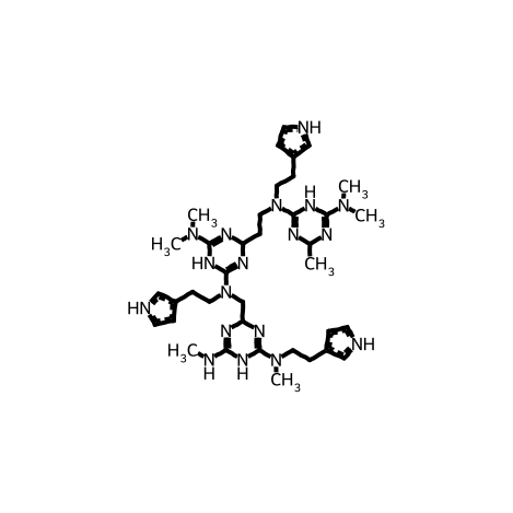 CNC1=NC(CN(CCc2cc[nH]c2)C2=NC(CCN(CCc3cc[nH]c3)C3=NC(C)N=C(N(C)C)N3)N=C(N(C)C)N2)N=C(N(C)CCc2cc[nH]c2)N1